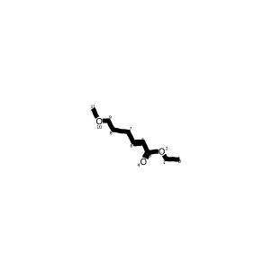 CCOC(=O)C=CCCCOC